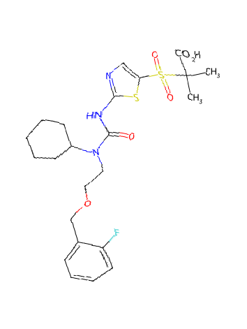 CC(C)(C(=O)O)S(=O)(=O)c1cnc(NC(=O)N(CCOCc2ccccc2F)C2CCCCC2)s1